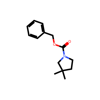 CC1(C)CCN(C(=O)OCc2ccccc2)C1